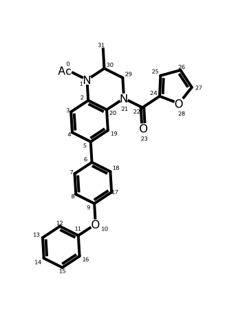 CC(=O)N1c2ccc(-c3ccc(Oc4ccccc4)cc3)cc2N(C(=O)c2ccco2)CC1C